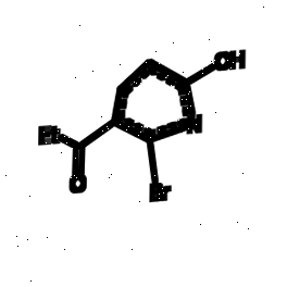 CCC(=O)c1ccc(O)nc1Br